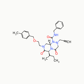 C#CCN1CC(=O)N2[C@@H](C(C)CC)C(=O)N(CCOCc3ccc(C)cc3)C[C@@H]2N1C(=O)NCc1ccccc1